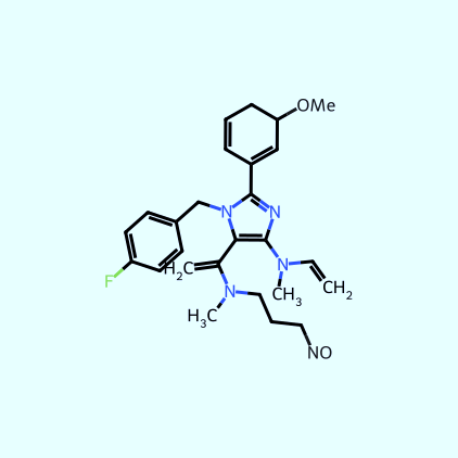 C=CN(C)c1nc(C2=CC(OC)CC=C2)n(Cc2ccc(F)cc2)c1C(=C)N(C)CCCN=O